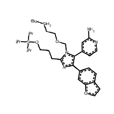 CC(C)[Si](OCCCc1nc(-c2ccc3ccoc3c2)c(-c2ccnc(N)c2)n1COCC[SiH2]C(C)(C)C)(C(C)C)C(C)C